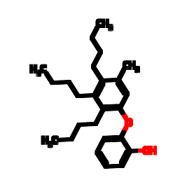 CCCCc1c(C)cc(Oc2ccccc2O)c(CCCC)c1CCCC